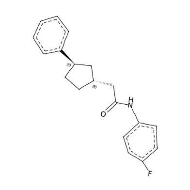 O=C(C[C@@H]1CC[C@@H](c2ccccc2)C1)Nc1ccc(F)cc1